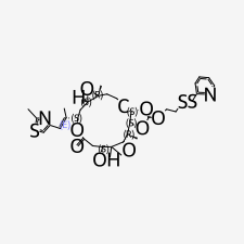 C/C(=C\c1csc(C)n1)[C@@H]1C[C@@H]2O[C@]2(C)CCC[C@H](C)[C@H](OC(=O)OCCSSc2ccccn2)[C@@H](C)C(=O)C(C)(C)[C@@H](O)CC(=O)O1